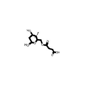 O=C(O)CCC(=O)OCC1OC(O)CC(O)[C@@H]1F